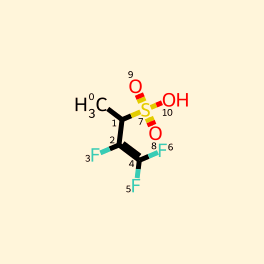 CC(C(F)=C(F)F)S(=O)(=O)O